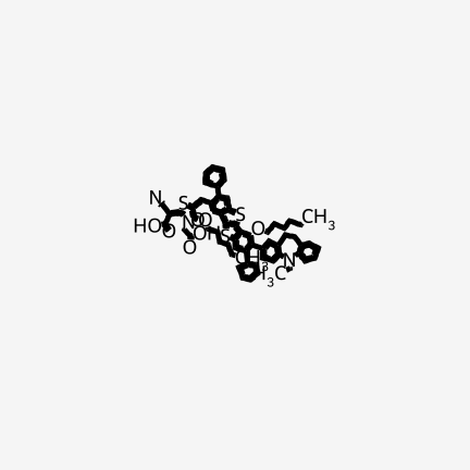 CCCCCCOc1c(/C=c2/s/c(=C(\C#N)C(=O)O)n(CC(=O)O)c2=O)c(-c2ccccc2)cc2sc3c(sc4cc(-c5ccccc5)c(-c5ccc6c(c5)CCc5ccccc5N6CC)c(OCCCCCC)c43)c12